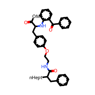 CCCCCCCC(Cc1ccccc1)C(=O)NCCOc1ccc(CC(Nc2ccccc2C(=O)c2ccccc2)C(=O)OC)cc1